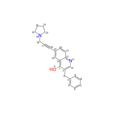 Oc1c(Cc2ccccc2)cnc2ccc(C#CCN3CCCC3)cc12